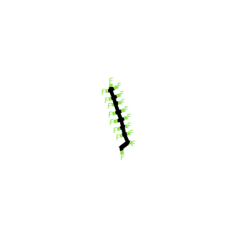 F/[C]=C(\F)C(F)(F)C(F)(F)C(F)(F)C(F)(F)C(F)(F)C(F)(F)C(F)(F)F